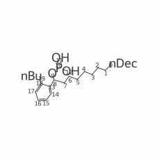 CCCCCCCCCCCCCCCCCC(OP(O)O)c1ccccc1CCCC